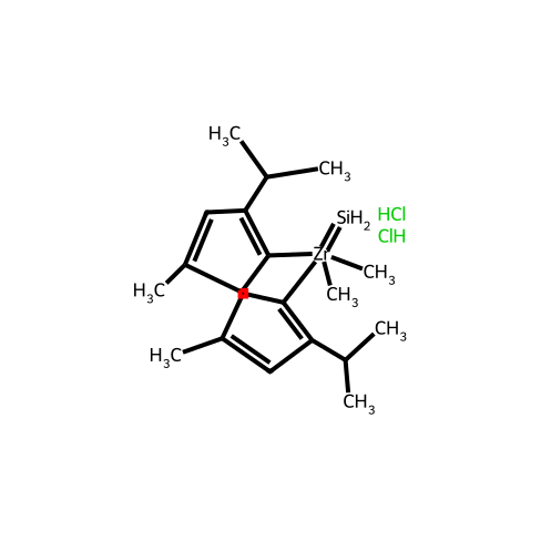 CC1=CC(C(C)C)=[C]([Zr]([CH3])([CH3])(=[SiH2])[C]2=C(C(C)C)C=C(C)C2)C1.Cl.Cl